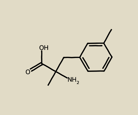 Cc1cccc(CC(C)(N)C(=O)O)c1